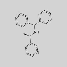 C[C@@H](NC(c1ccccc1)c1ccccc1)c1cccnc1